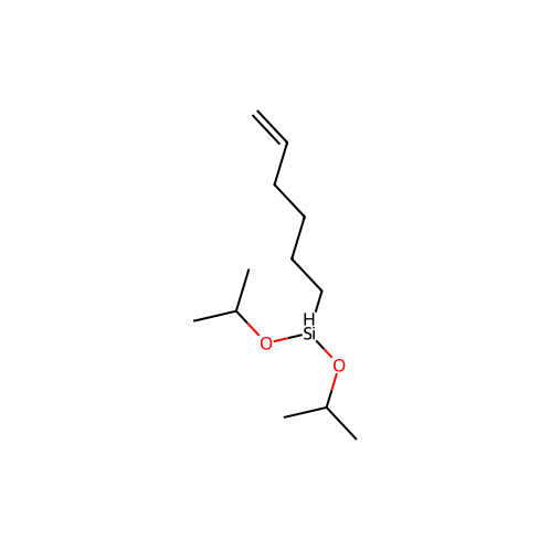 C=CCCCC[SiH](OC(C)C)OC(C)C